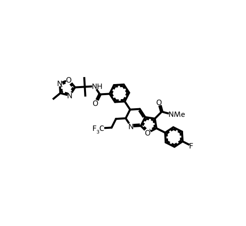 CNC(=O)c1c(-c2ccc(F)cc2)oc2c1=CC(c1cccc(C(=O)NC(C)(C)c3nc(C)no3)c1)C(CCC(F)(F)F)N=2